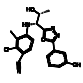 Cc1c(N[C@@H](c2nnc(-c3cccc(O)c3)o2)[C@@H](C)O)ccc(C#N)c1Cl